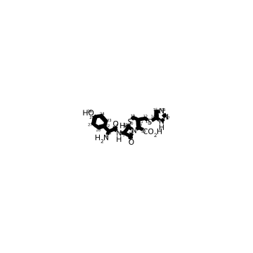 NC(C(=O)NC1C(=O)N2C(C(=O)O)=C(CSc3cnn[nH]3)CS[C@H]12)c1ccc(O)cc1